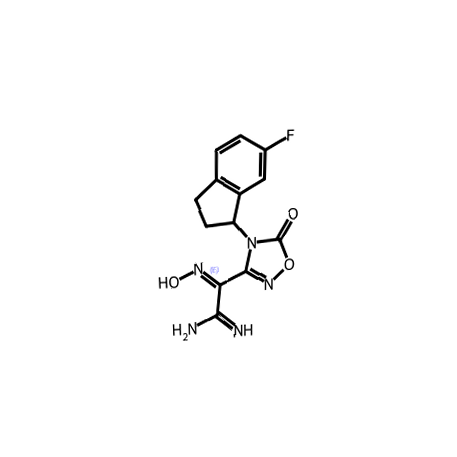 N=C(N)/C(=N\O)c1noc(=O)n1C1CCc2ccc(F)cc21